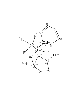 O[C@]1(C(F)(F)F)C[C@H]2CC[C@@H](C1)N2Cc1ccccc1